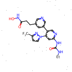 CCNC(=O)Nc1cc(-n2ccc(C(F)(F)F)n2)c(-c2cncc(CCC(=O)NO)c2)cn1